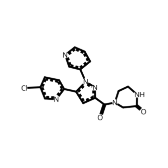 O=C1CN(C(=O)c2cc(-c3ccc(Cl)cn3)n(-c3cccnc3)n2)CCN1